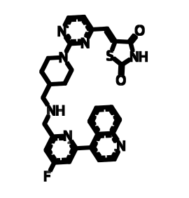 O=C1NC(=O)C(=Cc2ccnc(N3CCC(CNCc4cc(F)cc(-c5ccnc6ccccc56)n4)CC3)n2)S1